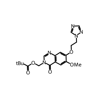 COc1cc2c(=O)n(COC(=O)C(C)(C)C)cnc2cc1OCCn1cncn1